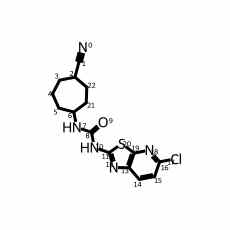 N#CC1CCCC(NC(=O)Nc2nc3ccc(Cl)nc3s2)CC1